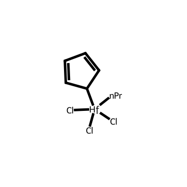 CC[CH2][Hf]([Cl])([Cl])([Cl])[CH]1C=CC=C1